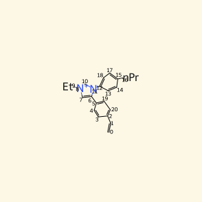 C=Cc1ccc(-c2c[n+](CC)cn2-c2ccc(CCC)cc2)cc1